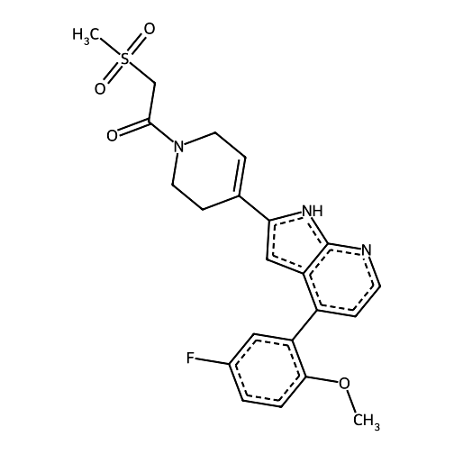 COc1ccc(F)cc1-c1ccnc2[nH]c(C3=CCN(C(=O)CS(C)(=O)=O)CC3)cc12